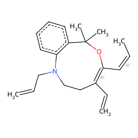 C=CCN1CC/C(C=C)=C(/C=C\C)OC(C)(C)c2ccccc21